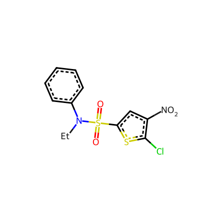 CCN(c1ccccc1)S(=O)(=O)c1cc([N+](=O)[O-])c(Cl)s1